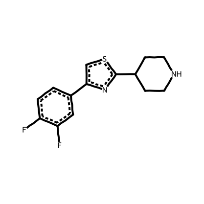 Fc1ccc(-c2csc(C3CCNCC3)n2)cc1F